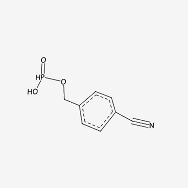 N#Cc1ccc(CO[PH](=O)O)cc1